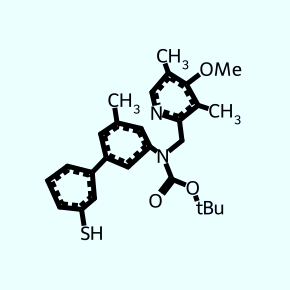 COc1c(C)cnc(CN(C(=O)OC(C)(C)C)c2cc(C)cc(-c3cccc(S)c3)c2)c1C